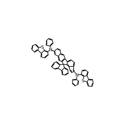 c1ccc(N(c2ccc3cc4c(cc3c2)C2(c3ccccc3-c3ccccc32)c2c-4ccc3cc(N(c4ccccc4)c4cccc5c4sc4ccccc45)ccc23)c2cccc3c2sc2ccccc23)cc1